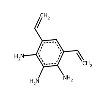 C=Cc1cc(C=C)c(N)c(N)c1N